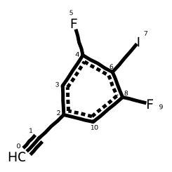 C#Cc1cc(F)c(I)c(F)c1